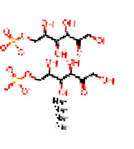 O=C(CO)C(O)C(O)C(O)COP(=O)([O-])[O-].O=C(CO)C(O)C(O)C(O)COP(=O)([O-])[O-].[Na+].[Na+].[Na+].[Na+]